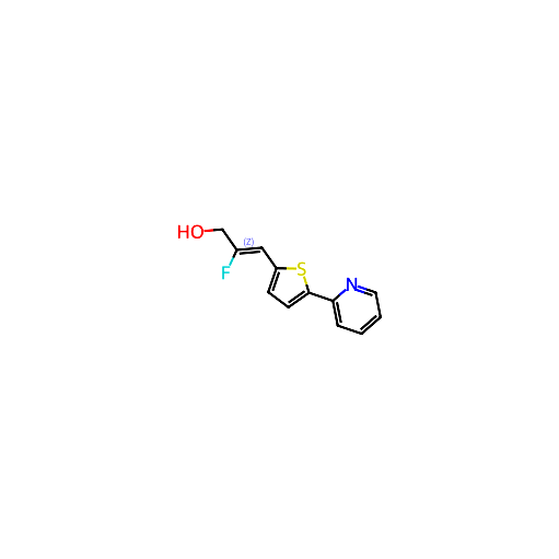 OC/C(F)=C/c1ccc(-c2ccccn2)s1